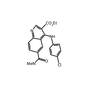 CCOC(=O)c1cnc2ccc(C(=O)NC)cc2c1Nc1ccc(Cl)cc1